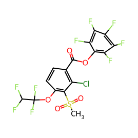 CS(=O)(=O)c1c(OC(F)(F)C(F)F)ccc(C(=O)Oc2c(F)c(F)c(F)c(F)c2F)c1Cl